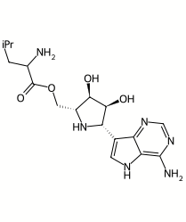 CC(C)CC(N)C(=O)OC[C@H]1N[C@@H](c2c[nH]c3c(N)ncnc23)[C@H](O)[C@@H]1O